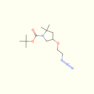 CC(C)(C)OC(=O)N1CC(OCCN=[N+]=[N-])CC1(C)C